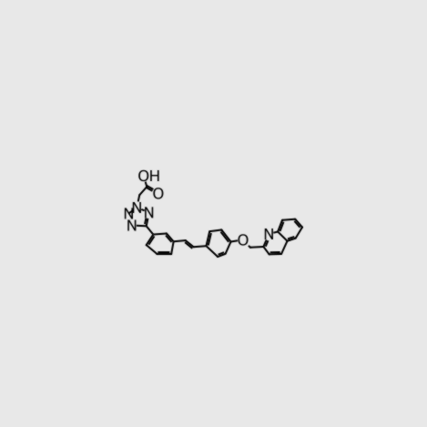 O=C(O)Cn1nnc(-c2cccc(C=Cc3ccc(OCc4ccc5ccccc5n4)cc3)c2)n1